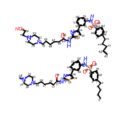 CCCCCc1ccc(S(=O)(=O)Nc2cccc(-c3csc(NC(=O)CCCCCN4CCN(C)CC4)n3)c2)cc1.CCCCCc1ccc(S(=O)(=O)Nc2cccc(-c3csc(NC(=O)CCCCCN4CCN(CCO)CC4)n3)c2)cc1